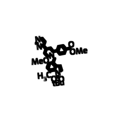 COC(=O)c1ccc(C2CC(c3ccncn3)CCN2Cc2c(OC)cc(C)c3c2ccn3C(=O)OC(C)(C)C)cc1